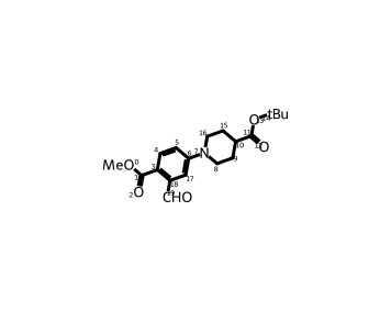 COC(=O)c1ccc(N2CCC(C(=O)OC(C)(C)C)CC2)cc1C=O